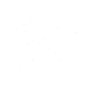 CCONC(=O)C(=O)CC(NC(=O)c1cccnc1-n1ccc(-c2ccccc2)n1)c1ccc(OC)cc1